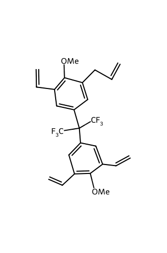 C=CCc1cc(C(c2cc(C=C)c(OC)c(C=C)c2)(C(F)(F)F)C(F)(F)F)cc(C=C)c1OC